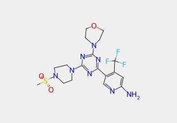 CS(=O)(=O)N1CCN(c2nc(-c3cnc(N)cc3C(F)(F)F)nc(N3CCOCC3)n2)CC1